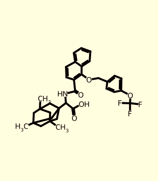 CC12CC3(C)CC(C)(C1)CC(C(NC(=O)c1ccc4ccccc4c1OCc1ccc(OC(F)(F)F)cc1)C(=O)O)(C2)C3